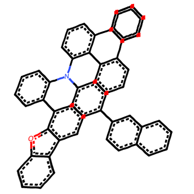 c1ccc(-c2ccccc2-c2c(-c3ccccc3)cccc2N(c2ccc(-c3ccc4ccccc4c3)cc2)c2ccccc2-c2cccc3c2oc2ccccc23)cc1